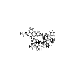 COc1ccccc1-c1noc(-c2cnn(CC(C)(O)CC([C@@H](C)O)n3ncc(-c4onc(-c5ccccc5OC)c4-c4ccncn4)c3C(F)(F)F)c2C(F)(F)F)c1-c1ccncn1